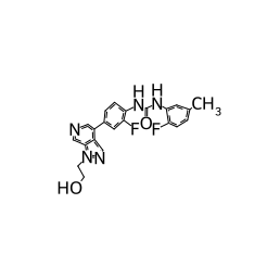 Cc1ccc(F)c(NC(=O)Nc2ccc(-c3cncc4c3cnn4CCO)cc2F)c1